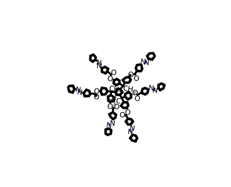 CC(c1ccc(OC(=O)c2ccc(/N=N/c3ccccc3)cc2)cc1)(c1ccc(OC(=O)c2ccc(/N=N/c3ccccc3)cc2)cc1)c1cc(C(C)(c2ccc(OC(=O)c3ccc(/N=N/c4ccccc4)cc3)cc2)c2ccc(OC(=O)c3ccc(/N=N/c4ccccc4)cc3)cc2)cc(C(C)(c2ccc(OC(=O)c3ccc(/N=N/c4ccccc4)cc3)cc2)c2ccc(OC(=O)c3ccc(/N=N/c4ccccc4)cc3)cc2)c1